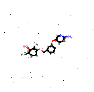 CCCc1c(OCc2cccc(Oc3ccc(N)nc3)c2)ccc(C(C)=O)c1O